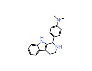 CN(C)c1ccc(C2NCCc3c2[nH]c2ccccc32)cc1